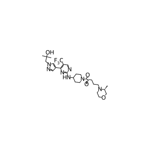 C[C@H]1COCCN1CCCS(=O)(=O)N1CCC(Nc2ncc(C(F)(F)F)c(-c3cnn(CC(C)(C)O)c3)n2)CC1